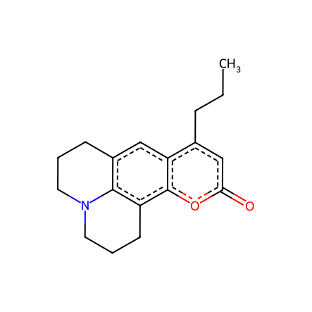 CCCc1cc(=O)oc2c3c4c(cc12)CCCN4CCC3